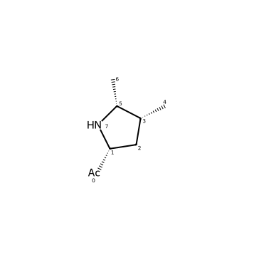 CC(=O)[C@H]1C[C@@H](C)[C@@H](C)N1